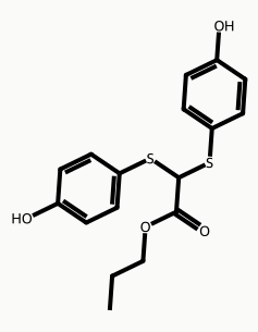 CCCOC(=O)C(Sc1ccc(O)cc1)Sc1ccc(O)cc1